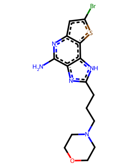 Nc1nc2cc(Br)sc2c2[nH]c(CCCN3CCOCC3)nc12